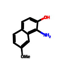 COc1ccc2ccc(O)c(N)c2c1